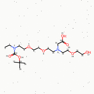 CCN(CCOCCOCCN(CCOCCO)CC(=O)O)C(=O)OC(C)(C)C